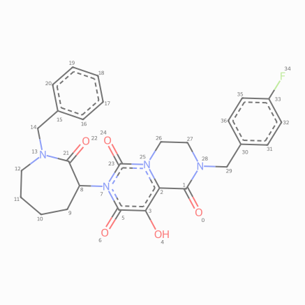 O=C1c2c(O)c(=O)n(C3CCCCN(Cc4ccccc4)C3=O)c(=O)n2CCN1Cc1ccc(F)cc1